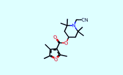 Cc1oc(C)c(C(=O)OC2CC(C)(C)N(CC#N)C(C)(C)C2)c1C